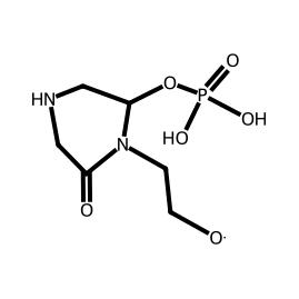 [O]CCN1C(=O)CNCC1OP(=O)(O)O